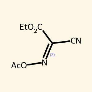 CCOC(=O)/C(C#N)=N\OC(C)=O